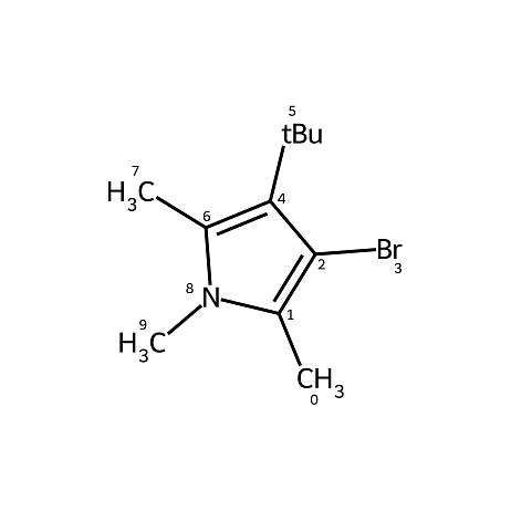 Cc1c(Br)c(C(C)(C)C)c(C)n1C